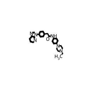 CCN1CCN(c2ccc(NC(=O)Cc3ccc(-n4cnc5cccnc54)cc3)cc2)CC1